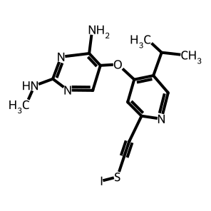 CNc1ncc(Oc2cc(C#CSI)ncc2C(C)C)c(N)n1